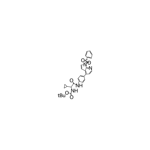 CC(C)(C)OC(=O)NC(C(=O)Nc1ccc(-c2ccnc3c2ccn3S(=O)(=O)c2ccccc2)cc1)C1CC1